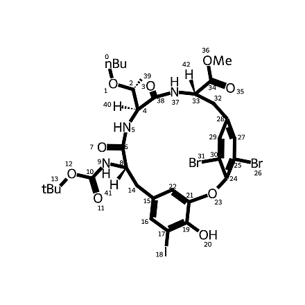 CCCCO[C@H](C)[C@@H]1NC(=O)[C@@H](NC(=O)OC(C)(C)C)Cc2cc(I)c(O)c(c2)Oc2c(Br)cc(cc2Br)C[C@@H](C(=O)OC)NC1=O